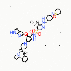 CC(C)c1ccccc1[C@H]1CCCN1C1CC2(CCN(c3ccc(C(=O)NS(=O)(=O)c4cnc(NC[C@H]5CC[C@@H](N=S6(=O)CCCCC6)CC5)c([N+](=O)[O-])c4)c(Oc4cnc5[nH]ccc5c4)c3)CC2)C1